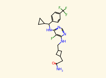 NC(=O)CC1CC(CNc2ncnc(NC(c3ccc(C(F)(F)F)cc3)C3CC3)c2F)C1